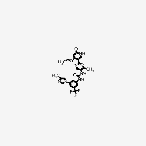 CCOc1cc(=O)[nH]cc1-c1ncc(NC(=O)Nc2cc(-n3cnc(C)c3)cc(C(F)(F)F)c2)c(C)n1